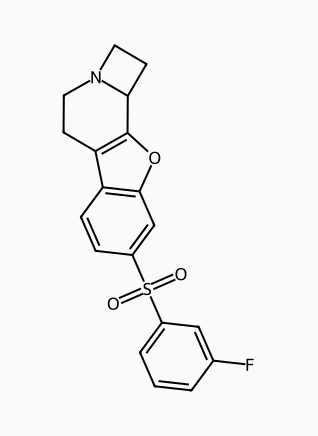 O=S(=O)(c1cccc(F)c1)c1ccc2c3c(oc2c1)C1CCN1CC3